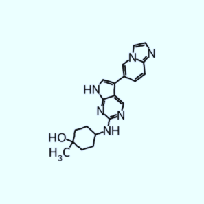 CC1(O)CCC(Nc2ncc3c(-c4ccc5nccn5c4)c[nH]c3n2)CC1